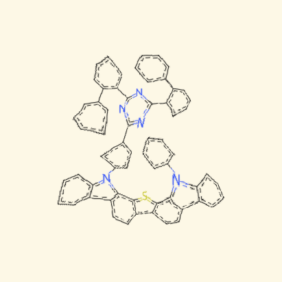 c1ccc(-c2ccccc2-c2nc(-c3ccc(-n4c5ccccc5c5ccc6c7ccc8c9ccccc9n(-c9ccccc9)c8c7sc6c54)cc3)nc(-c3ccccc3-c3ccccc3)n2)cc1